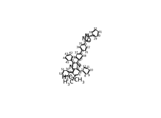 CC(C)(C)c1cc(-c2ccccc2)c2nc(-c3ccc(-c4ccc(-c5nnc(-c6ccccc6)o5)cc4)cc3)c(-c3ccccc3)nc2c1-c1ccccc1